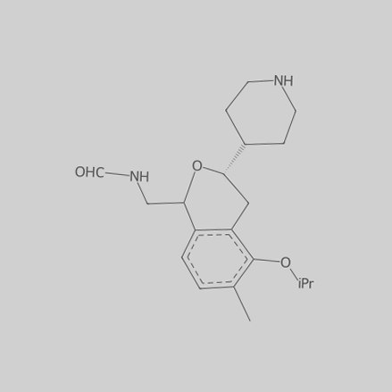 Cc1ccc2c(c1OC(C)C)C[C@@H](C1CCNCC1)OC2CNC=O